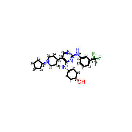 O[C@H]1CC[C@H](Nc2nc(Nc3cccc(C(F)(F)F)c3)ncc2C2CCN(C3CCCC3)CC2)CC1